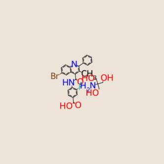 Cc1c(-c2ccccc2)nc2ccc(Br)cc2c1C(=O)Nc1ccc(C(=O)O)cc1F.NC(CO)(CO)CO